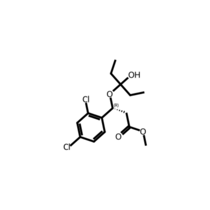 CCC(O)(CC)O[C@H](CC(=O)OC)c1ccc(Cl)cc1Cl